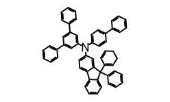 C1=CC(C2(c3ccccc3)c3ccccc3-c3ccc(N(c4ccc(-c5ccccc5)cc4)c4cc(-c5ccccc5)cc(-c5ccccc5)c4)cc32)=CCC1